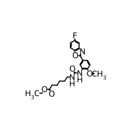 CCOC(=O)CCCCCNC(=O)Nc1cc(-c2nc3cc(F)ccc3o2)ccc1OC